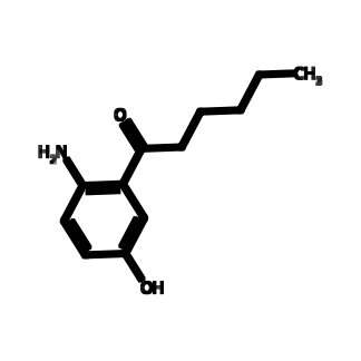 CCCCCC(=O)c1cc(O)ccc1N